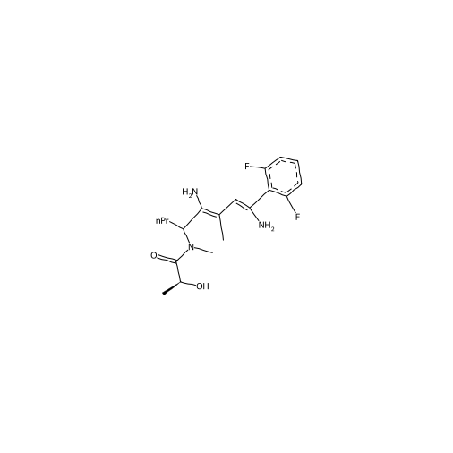 CCCC(/C(N)=C(C)/C=C(\N)c1c(F)cccc1F)N(C)C(=O)[C@H](C)O